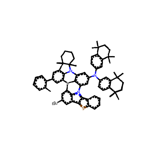 Cc1ccccc1-c1cc2c3c(c1)C1(C)CCCCC1(C)N3c1cc(N(c3ccc4c(c3)C(C)(C)CCC4(C)C)c3ccc4c(c3)C(C)(C)CCC4(C)C)cc3c1B2c1cc(C(C)(C)C)cc2c4sc5ccccc5c4n-3c12